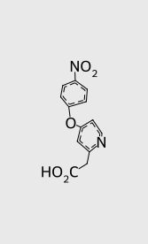 O=C(O)Cc1cc(Oc2ccc([N+](=O)[O-])cc2)ccn1